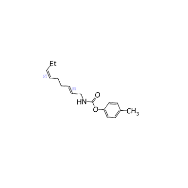 CC/C=C\CC/C=C/CNC(=O)Oc1ccc(C)cc1